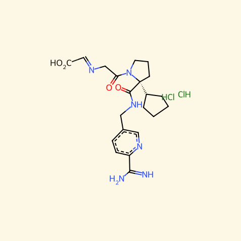 Cl.Cl.N=C(N)c1ccc(CNC(=O)[C@]2(C3CCCC3)CCCN2C(=O)CN=CC(=O)O)cn1